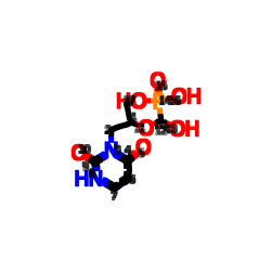 CC(Cn1c(=O)cc[nH]c1=O)O[C@H](O)P(=O)(O)O